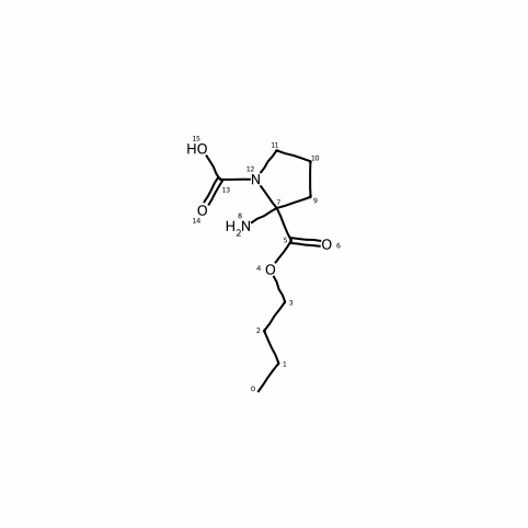 CCCCOC(=O)C1(N)CCCN1C(=O)O